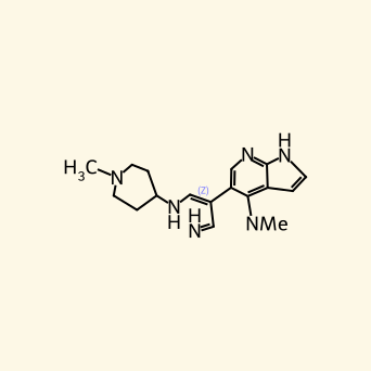 CNc1c(/C(C=N)=C/NC2CCN(C)CC2)cnc2[nH]ccc12